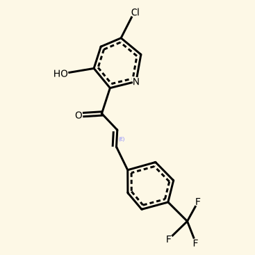 O=C(/C=C/c1ccc(C(F)(F)F)cc1)c1ncc(Cl)cc1O